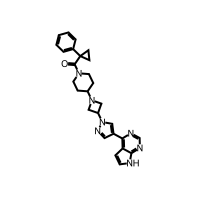 O=C(N1CCC(N2CC(n3cc(-c4ncnc5[nH]ccc45)cn3)C2)CC1)C1(c2ccccc2)CC1